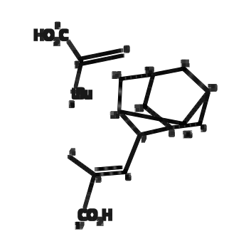 C=C(C(=O)O)C(C)(C)C.CC(=CC1C2CC3CC(C2)CC1C3)C(=O)O